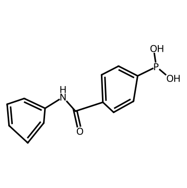 O=C(Nc1ccccc1)c1ccc(P(O)O)cc1